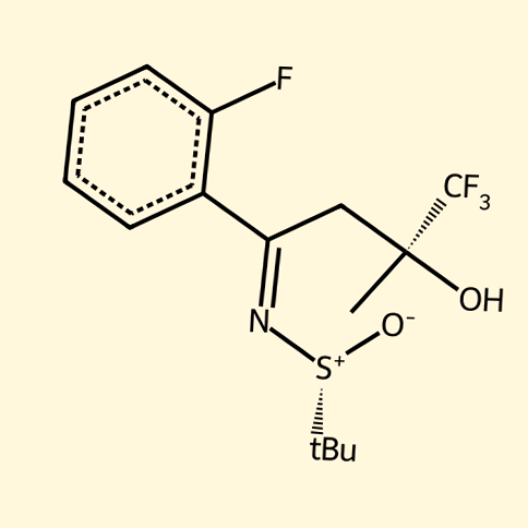 CC(C)(C)[S@@+]([O-])/N=C(\C[C@](C)(O)C(F)(F)F)c1ccccc1F